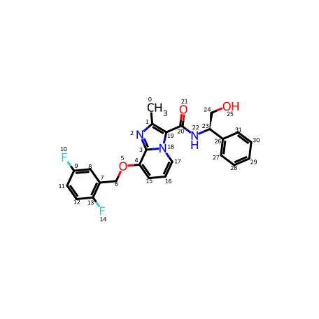 Cc1nc2c(OCc3cc(F)ccc3F)cccn2c1C(=O)N[C@@H](CO)c1ccccc1